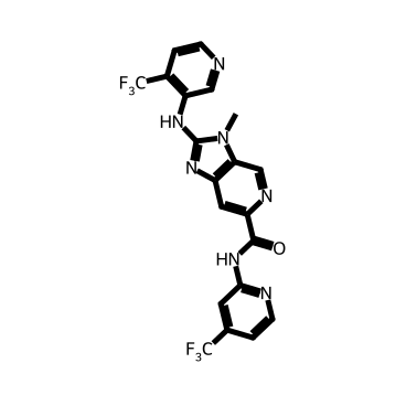 Cn1c(Nc2cnccc2C(F)(F)F)nc2cc(C(=O)Nc3cc(C(F)(F)F)ccn3)ncc21